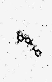 O=C(N[C@@H]1[C@@H]2C[C@@](O)(c3cc(Cl)cc4cn[nH]c34)C[C@@H]21)c1ccncc1